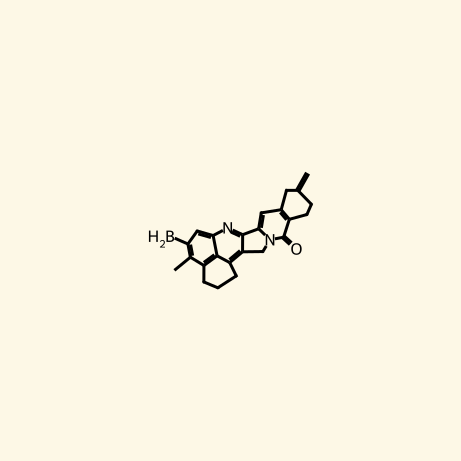 Bc1cc2nc3c(c4c2c(c1C)CCC4)Cn1c-3cc2c(c1=O)CCC(=C)C2